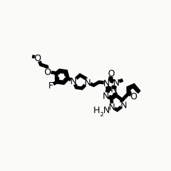 COCCOc1ccc(N2CCN(CCn3c(=O)n(C)n4c5c(nc34)N(N)CN=C5c3ccco3)CC2)cc1F